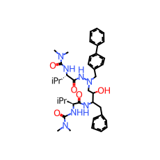 CC(C)[C@H](NC(=O)N(C)C)C(=O)NC(Cc1ccccc1)C(O)CN(Cc1ccc(-c2ccccc2)cc1)NC(=O)[C@@H](NC(=O)N(C)C)C(C)C